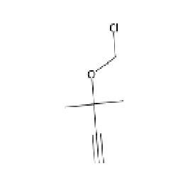 C#CC(C)(C)OCCl